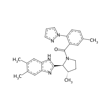 Cc1ccc(-n2cccn2)c(C(=O)N2CC[C@H](C)[C@H]2c2nc3cc(C)c(C)cc3[nH]2)c1